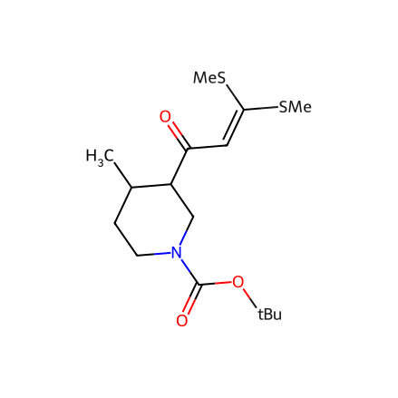 CSC(=CC(=O)C1CN(C(=O)OC(C)(C)C)CCC1C)SC